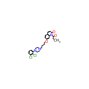 CCC(=O)n1c(=O)ccc2ccc(OCCCCN3CCN(c4cccc(Cl)c4Cl)CC3)cc21